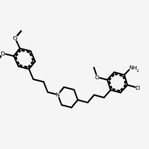 COc1cc(N)c(Cl)cc1CCCC1CCN(CCCc2ccc(OC)c(OC)c2)CC1